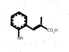 CCCc1ccccc1C=C(C)C(=O)O